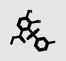 COC(=O)c1ccc(O)c(O)c1S(=O)(=O)c1cccc(C)c1